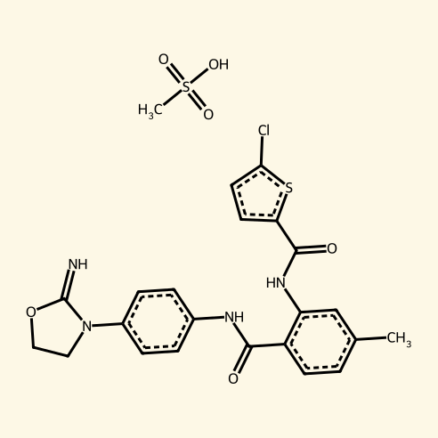 CS(=O)(=O)O.Cc1ccc(C(=O)Nc2ccc(N3CCOC3=N)cc2)c(NC(=O)c2ccc(Cl)s2)c1